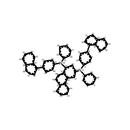 c1ccc(N(c2ccc(-c3cccc4ccccc34)cc2)c2cc(N(c3ccccc3)c3ccc(-c4cccc5ccccc45)cc3)c3ccc4ccccc4c3c2)cc1